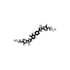 Cc1c(-c2ccc(-c3c[nH]c(C(NC(C)C(=O)NC(=O)O)C(C)C)n3)cc2)ccc(-c2c[nH]c([C@@H](N[C@@H](C)C(=O)NC(=O)O)C(C)C)n2)c1C